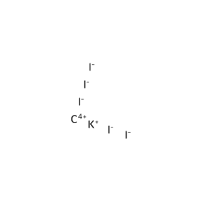 [C+4].[I-].[I-].[I-].[I-].[I-].[K+]